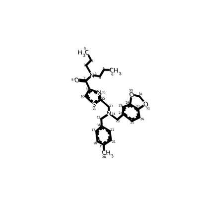 CCCN(CCC)C(=O)c1csc(CN(Cc2ccc(C)cc2)Cc2ccc3c(c2)OCO3)n1